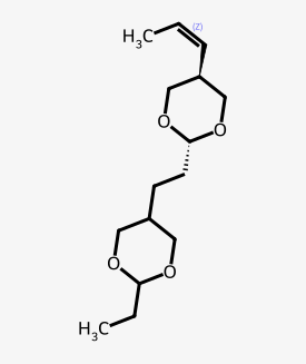 C/C=C\[C@H]1CO[C@H](CCC2COC(CC)OC2)OC1